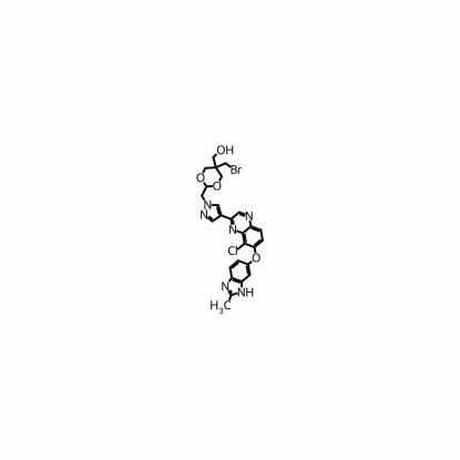 Cc1nc2ccc(Oc3ccc4ncc(-c5cnn(CC6OCC(CO)(CBr)CO6)c5)nc4c3Cl)cc2[nH]1